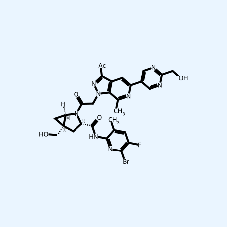 CC(=O)c1nn(CC(=O)N2[C@H](C(=O)Nc3nc(Br)c(F)cc3C)C[C@@]3(CO)C[C@@H]23)c2c(C)nc(-c3cnc(CO)nc3)cc12